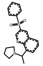 CC(c1cccc2cc(S(=O)(=O)c3ccccc3)cnc12)N1CCCC1